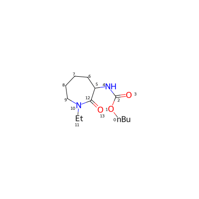 CCCCOC(=O)NC1CCCCN(CC)C1=O